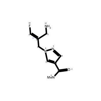 CNC(=O)c1cnn(C/C(=C/F)CN)c1